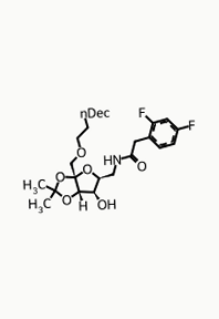 CCCCCCCCCCCCOC[C@@]12O[C@@H](CNC(=O)Cc3ccc(F)cc3F)[C@@H](O)[C@@H]1OC(C)(C)O2